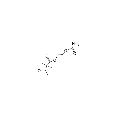 CC(=O)C(C)(C)C(=O)OCCOC(N)=O